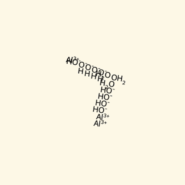 O.O.O.[Al+3].[Al+3].[Al+3].[OH-].[OH-].[OH-].[OH-].[OH-].[OH-].[OH-].[OH-].[OH-]